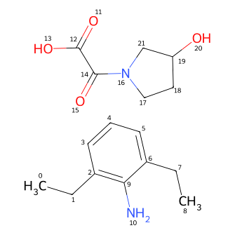 CCc1cccc(CC)c1N.O=C(O)C(=O)N1CCC(O)C1